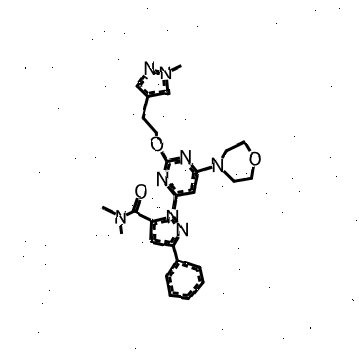 CN(C)C(=O)c1cc(-c2ccccc2)nn1-c1cc(N2CCOCC2)nc(OCCc2cnn(C)c2)n1